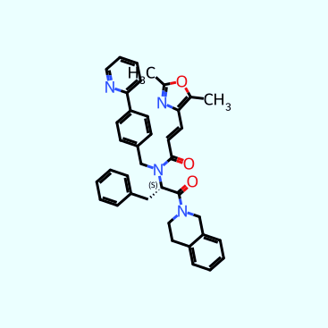 Cc1nc(C=CC(=O)N(Cc2ccc(-c3ccccn3)cc2)[C@@H](Cc2ccccc2)C(=O)N2CCc3ccccc3C2)c(C)o1